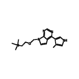 Cc1c[nH]cc1-c1ncnc2c1ccn2COCC[Si](C)(C)C